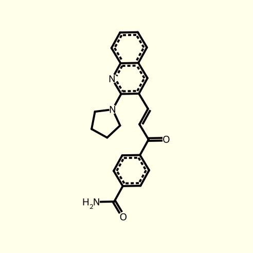 NC(=O)c1ccc(C(=O)C=Cc2cc3ccccc3nc2N2CCCC2)cc1